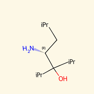 CC(C)C[C@@H](N)C(O)(C(C)C)C(C)C